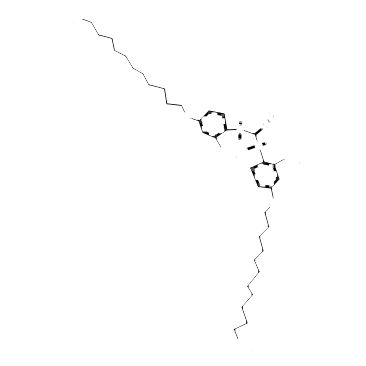 CCCCCCCCCCCCOc1ccc(S(=O)(=O)C(=[N+]=[N-])S(=O)(=O)c2ccc(OCCCCCCCCCCCC)cc2C)c(C)c1